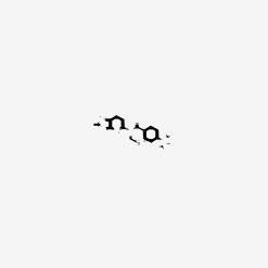 CC(C)CN(C(=O)c1ccc(S(N)(=O)=O)cc1)c1ccc2nc(S)sc2n1